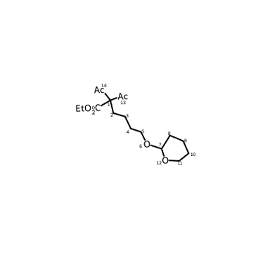 CCOC(=O)C(CCCCOC1CCCCO1)(C(C)=O)C(C)=O